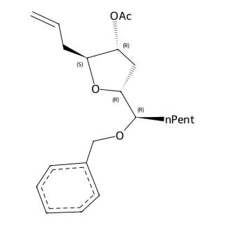 C=CC[C@@H]1O[C@@H]([C@@H](CCCCC)OCc2ccccc2)C[C@H]1OC(C)=O